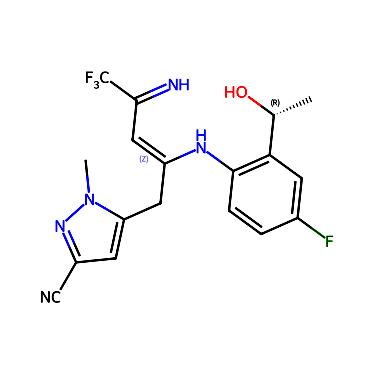 C[C@@H](O)c1cc(F)ccc1N/C(=C\C(=N)C(F)(F)F)Cc1cc(C#N)nn1C